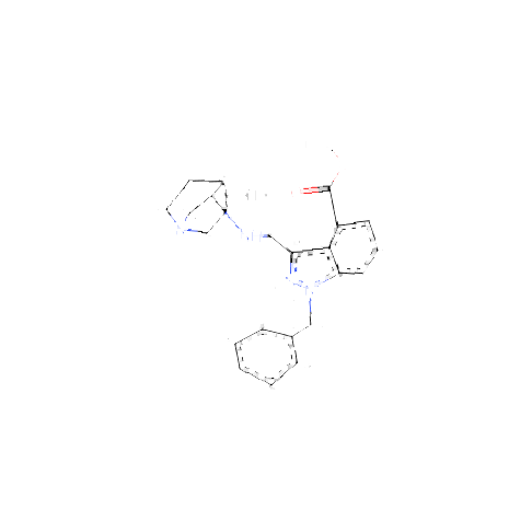 COC(=O)c1cccc2c1c(CN[C@H]1CN3CCC1CC3)nn2Cc1ccccc1